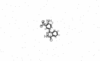 Nc1ccc(-c2n[nH]c(=O)c3ccccc23)cc1[N+](=O)[O-]